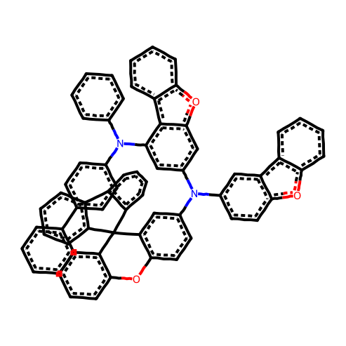 c1ccc(-c2ccc(N(c3ccccc3)c3cc(N(c4ccc5c(c4)C4(c6ccccc6O5)c5ccccc5-c5ccccc54)c4ccc5oc6ccccc6c5c4)cc4oc5ccccc5c34)cc2)cc1